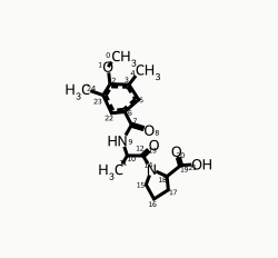 COc1c(C)cc(C(=O)NC(C)C(=O)N2CCCC2C(=O)O)cc1C